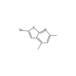 [2H]c1cc2c(C)cc(C)nc2s1